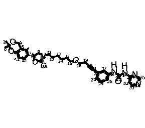 CC1(C)OCc2cc([C@@H]3CN(CCCCCCOCCC#Cc4cccc(NC(=O)Nc5ccncn5)c4)C(=O)O3)ccc2O1